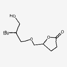 CC(C)(C)C(CO)COCC1CCC(=O)O1